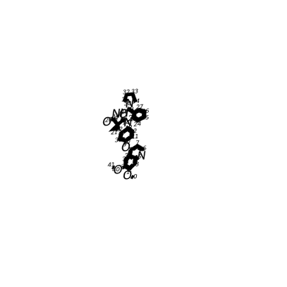 COc1cc2nccc(Oc3ccc(N(C(=O)C4(C(N)=O)CC4)c4ccccc4CN4CCCC4)cc3)c2cc1OC